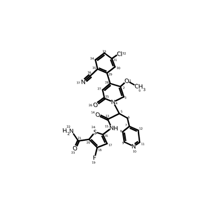 COc1cn(C(Cc2ccncc2)C(=O)Nc2cc(F)c(C(N)=O)s2)c(=O)cc1-c1cc(Cl)ccc1C#N